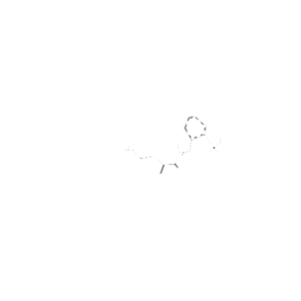 C=C(CCN(C)C)C(=O)NCc1ccccc1C(F)(F)F